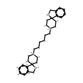 c1ccc2c(c1)COC21CCN(CCCCCCN2CCC3(CC2)OCc2ccccc23)CC1